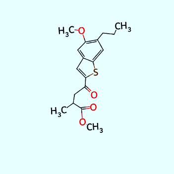 CCCc1cc2sc(C(=O)CC(C)C(=O)OC)cc2cc1OC